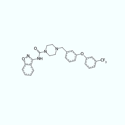 O=C(Nc1noc2ccccc12)N1CCN(Cc2cccc(Oc3cccc(C(F)(F)F)c3)c2)CC1